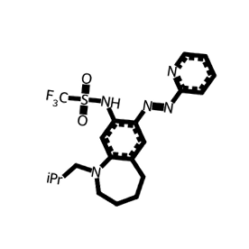 CC(C)CN1CCCCc2cc(N=Nc3ccccn3)c(NS(=O)(=O)C(F)(F)F)cc21